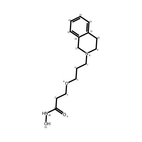 O=C(CCOCCCN1CCc2ccccc2C1)NO